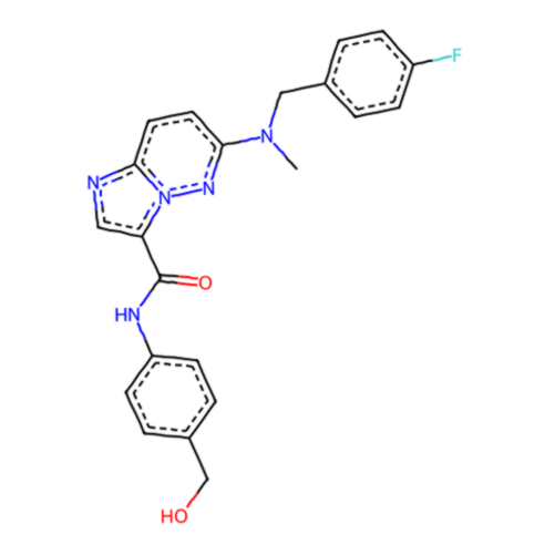 CN(Cc1ccc(F)cc1)c1ccc2ncc(C(=O)Nc3ccc(CO)cc3)n2n1